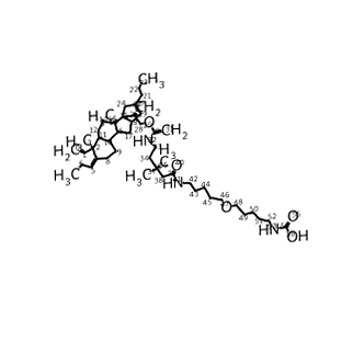 C=CC1(C)/C(=C\CC)CCC2C1CCC1(C)C2CC2CC(CCC)CC21C(=C)COC(=C)NCCC(C)(C)CC(=O)NCCCCCOCCCCCNC(=O)O